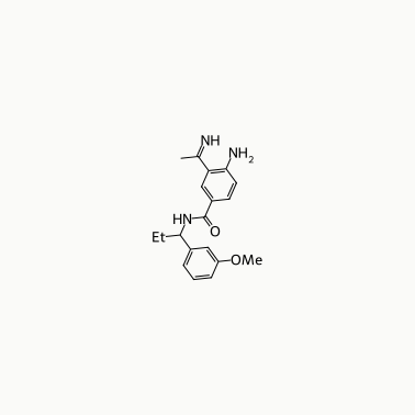 CCC(NC(=O)c1ccc(N)c(C(C)=N)c1)c1cccc(OC)c1